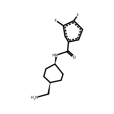 NC[C@H]1CC[C@@H](NC(=O)c2ccc(F)c(F)c2)CC1